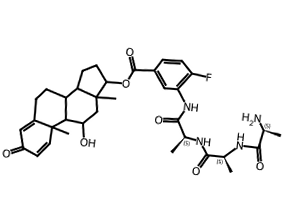 C[C@H](N)C(=O)N[C@@H](C)C(=O)N[C@@H](C)C(=O)Nc1cc(C(=O)OC2CCC3C4CCC5=CC(=O)C=CC5(C)C4C(O)CC23C)ccc1F